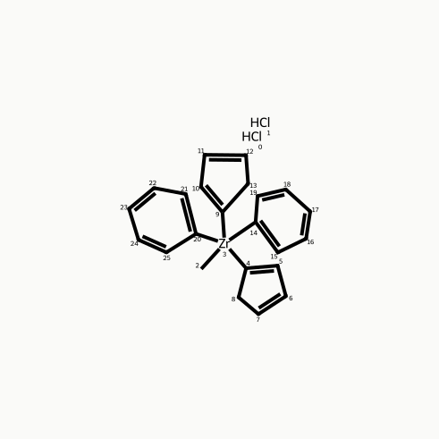 Cl.Cl.[CH3][Zr]([C]1=CC=CC1)([C]1=CC=CC1)([c]1ccccc1)[c]1ccccc1